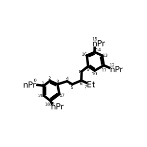 CCCc1cc(C[CH]C(CC)Cc2cc(CCC)cc(CCC)c2)cc(CCC)c1